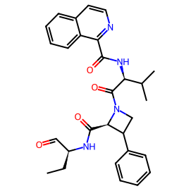 CC[C@@H](C=O)NC(=O)[C@@H]1C(c2ccccc2)CN1C(=O)[C@@H](NC(=O)c1nccc2ccccc12)C(C)C